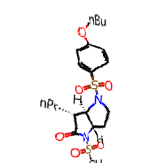 CCCCOc1ccc(S(=O)(=O)N2CC[C@H]3[C@H]2[C@@H](CCC)C(=O)N3S(C)(=O)=O)cc1